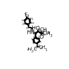 CN(C)c1ccc2c(c1)OC(C)(C)C(O)[C@H]2NCCc1ccc(F)cc1